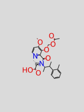 COc1ccnc(C(=O)N(C(C)C(C)c2ccccc2C)[C@@H](C)C(=O)O)c1OCOC(C)=O